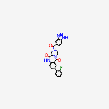 O=C1NC2=CCC(c3ccccc3F)C=C2C(=O)N2CCN(C(=O)c3ccc4[nH]nnc4c3)CC12